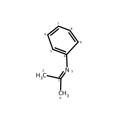 CC(C)=Nc1ccccc1